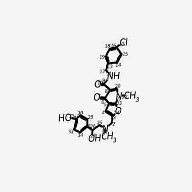 CN(Cc1cc2c(=O)c(C(=O)NCc3ccc(Cl)cc3)cn(C)c2o1)CC(O)c1ccc(O)cc1